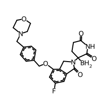 BC1(N2Cc3c(OCc4ccc(CN5CCOCC5)cc4)cc(F)cc3C2=O)CCC(=O)NC1=O